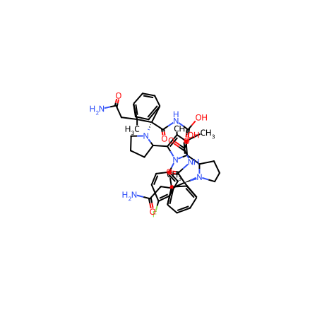 Cc1c(C)c(C2CCCN2[C@@]2(C(=O)NC(=O)O)c3ccc(cc3)C2(C)CC(N)=O)n(-c2ccc(F)cc2)c1C1CCCN1[C@@]1(C(=O)NC(=O)O)c2ccc(cc2)C1(C)CC(N)=O